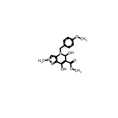 COC(=O)C1=C(O)c2nn(C)cc2N(Cc2ccc(OC)cc2)C1O